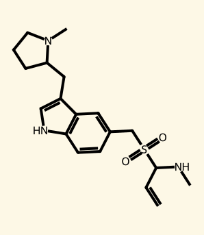 C=CC(NC)S(=O)(=O)Cc1ccc2[nH]cc(CC3CCCN3C)c2c1